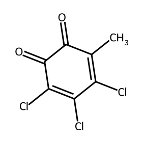 CC1=C(Cl)C(Cl)=C(Cl)C(=O)C1=O